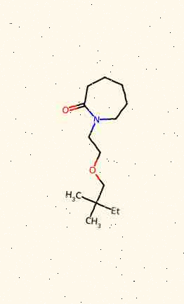 CCC(C)(C)COCCN1CCCCCC1=O